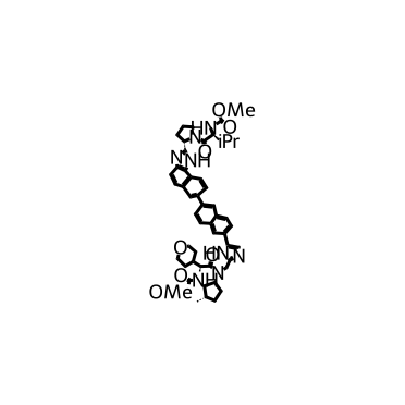 COC(=O)N[C@H](C(=O)N1CCC[C@H]1c1nc2ccc3cc(-c4ccc5cc(-c6cnc(CN(C(=O)[C@H](NC(=O)OC)C7CCOCC7)[C@@H]7CC[C@H](C)C7)[nH]6)ccc5c4)ccc3c2[nH]1)C(C)C